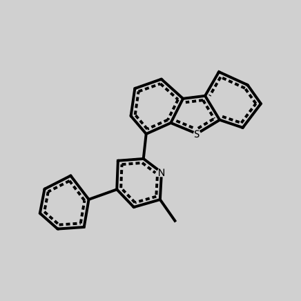 Cc1cc(-c2ccccc2)cc(-c2cccc3c2sc2ccccc23)n1